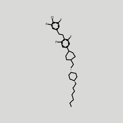 CCCCCCC[C@H]1CC[C@H](CCC2CCC(c3cc(F)c(CCc4cc(F)c(Cl)c(F)c4)c(F)c3)CC2)CC1